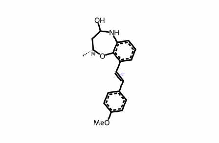 COc1ccc(/C=C/c2cccc3c2O[C@H](C)CC(O)N3)cc1